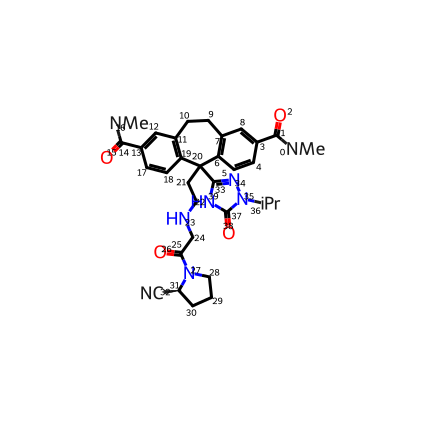 CNC(=O)c1ccc2c(c1)CCc1cc(C(=O)NC)ccc1C2(CCNCC(=O)N1CCC[C@H]1C#N)c1nn(C(C)C)c(=O)[nH]1